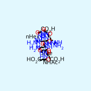 CCCCCCNC(=O)[C@H](CC(=O)O)NC(=O)[C@H](C)NC(=O)[C@H](CCCNC(=N)N)NC(=O)[C@H](CCCNC(=N)N)NC(=O)[C@H](CCC(N)=O)NC(=O)[C@H](CCSC)NC(=O)[C@H](CCC(=O)O)NC(=O)[C@H](CCC(=O)O)NC(C)=O